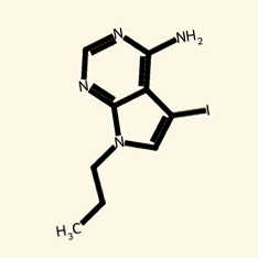 CCCn1cc(I)c2c(N)ncnc21